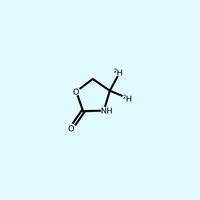 [2H]C1([2H])COC(=O)N1